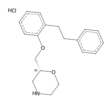 Cl.c1ccc(CCc2ccccc2OC[C@H]2CNCCO2)cc1